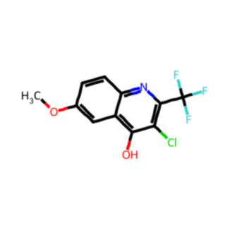 COc1ccc2nc(C(F)(F)F)c(Cl)c(O)c2c1